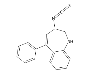 S=C=NC1C=C(c2ccccc2)c2ccccc2NC1